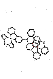 c1ccc(-c2ccccc2N(c2ccc3c(c2)-c2ccccc2C32c3ccccc3Sc3ccccc32)c2ccc3c(c2)C2(c4ccccc4Sc4ccccc42)c2ccccc2-3)cc1